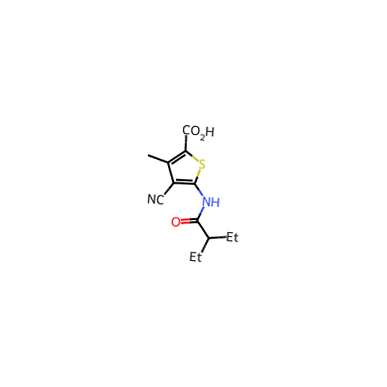 CCC(CC)C(=O)Nc1sc(C(=O)O)c(C)c1C#N